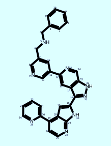 c1ccc(CNCc2cncc(-c3cc4c(-c5cc6c(-c7ccccn7)ccnc6[nH]5)n[nH]c4cn3)c2)cc1